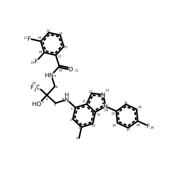 Cc1cc(NCC(O)(CNC(=O)c2cccc(F)c2F)C(F)(F)F)c2cnn(-c3ccc(F)cc3)c2c1